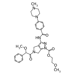 COCCOC(=O)n1nc(NC(=O)c2ccc(N3CCN(C)CC3)cc2)c2c1CN(C(=O)C(OC)c1ccccc1)C2